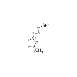 CC(C)CCCN1CCC(C)C1